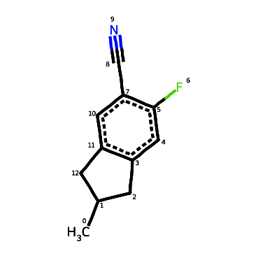 CC1Cc2cc(F)c(C#N)cc2C1